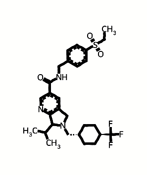 CCS(=O)(=O)c1ccc(CNC(=O)c2cnc3c(c2)CN(C[C@H]2CC[C@H](C(F)(F)F)CC2)C3C(C)C)cc1